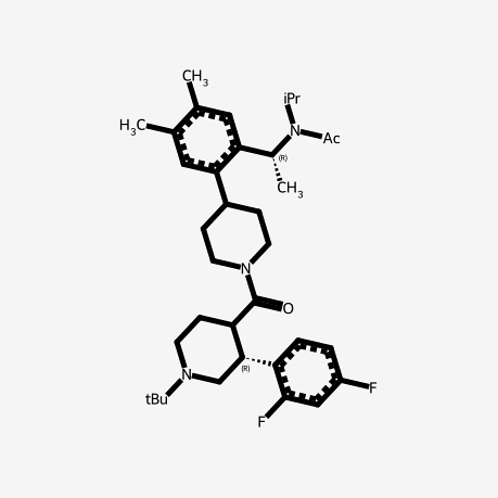 CC(=O)N(C(C)C)[C@H](C)c1cc(C)c(C)cc1C1CCN(C(=O)C2CCN(C(C)(C)C)C[C@H]2c2ccc(F)cc2F)CC1